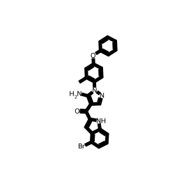 Cc1cc(Oc2ccccc2)ccc1-n1ncc(C(=O)c2cc3c(Br)cccc3[nH]2)c1N